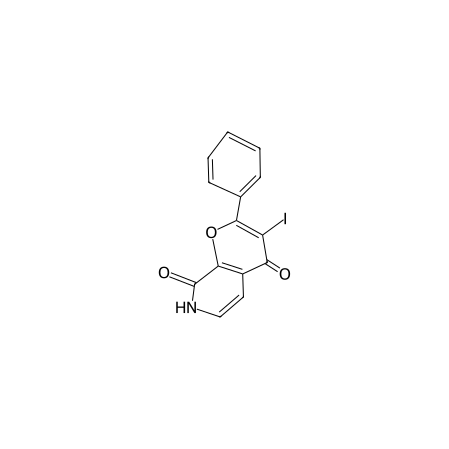 O=c1c(I)c(-c2ccccc2)oc2c(=O)[nH]ccc12